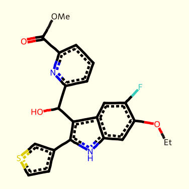 CCOc1cc2[nH]c(-c3ccsc3)c(C(O)c3cccc(C(=O)OC)n3)c2cc1F